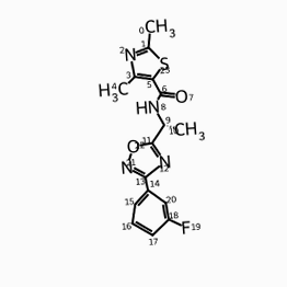 Cc1nc(C)c(C(=O)N[C@H](C)c2nc(-c3cccc(F)c3)no2)s1